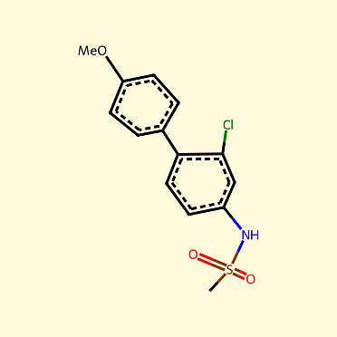 COc1ccc(-c2ccc(NS(C)(=O)=O)cc2Cl)cc1